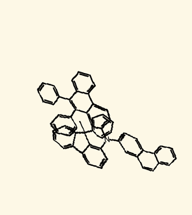 CC1(c2ccccc2)c2ccccc2-c2cccc(N(c3ccc4c(ccc5ccccc54)c3)c3ccc4c(c3)c(-c3ccccc3)c(-c3ccccc3)c3ccccc34)c21